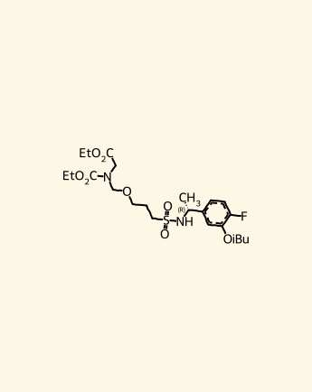 CCOC(=O)CN(COCCCS(=O)(=O)N[C@H](C)c1ccc(F)c(OCC(C)C)c1)C(=O)OCC